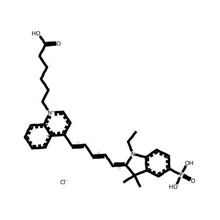 CCN1\C(=C/C=C/C=C/c2cc[n+](CCCCCC(=O)O)c3ccccc23)C(C)(C)c2cc(P(=O)(O)O)ccc21.[Cl-]